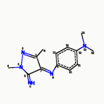 CC1=NN(C)C(=N)C1=Nc1ccc(N(C)C)cc1